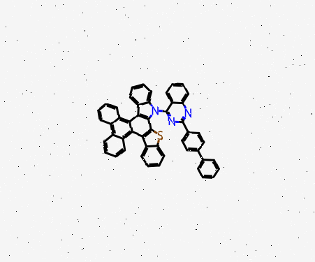 c1ccc(-c2ccc(-c3nc(-n4c5ccccc5c5c6c7ccccc7c7ccccc7c6c6c7ccccc7sc6c54)c4ccccc4n3)cc2)cc1